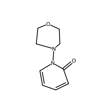 O=c1ccccn1N1CCOCC1